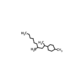 BC(CCCCCC)CC(C)C1CCC(C)CC1